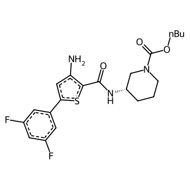 CCCCOC(=O)N1CCC[C@H](NC(=O)c2sc(-c3cc(F)cc(F)c3)cc2N)C1